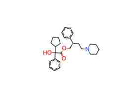 O=C(OC[C@H](CCN1CCCCC1)c1ccccc1)C(O)(c1ccccc1)C1CCCC1